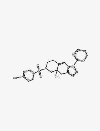 CC12Cc3cnn(-c4ccccn4)c3C=C1CCN(S(=O)(=O)c1ccc(C(C)(C)C)cc1)C2